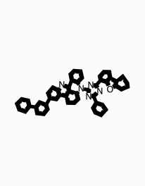 c1ccc(-c2cccc(-c3ccc4nc5c6c(cccc6c4c3)N(c3nc(-c4ccccc4)nc(-c4cccc6c4oc4ccccc46)n3)c3ccccc3-5)c2)cc1